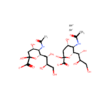 CC(=O)N[C@H]1[C@H]([C@H](O)[C@H](O)CO)OC(O)(C(=O)[O-])C[C@@H]1O.CC(=O)N[C@H]1[C@H]([C@H](O)[C@H](O)CO)OC(O)(C(=O)[O-])C[C@@H]1O.[Na+].[Na+]